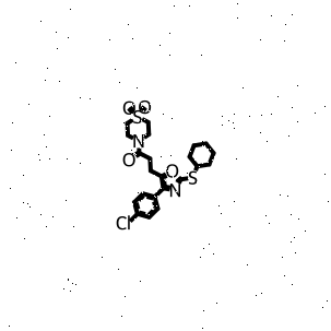 O=C(CCc1oc(SC2CCCCC2)nc1-c1ccc(Cl)cc1)N1CCS(=O)(=O)CC1